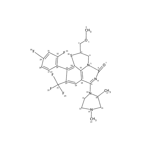 COCC1Cn2c(=O)nc(N3CCN(C)CC3C)c3cc(C(F)(F)F)c(-c4ccc(F)cc4F)c(c32)S1